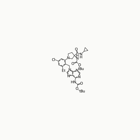 CCc1cc(Cl)cc(N2CC[C@](NC(=O)OC(C)(C)C)(C(=O)NC3CC3)C2)c1Cn1cnc2c(NC(=O)OC(C)(C)C)ncnc21